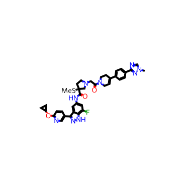 CSC1(C(=O)Nc2cc(F)c3[nH]nc(-c4ccc(OC5CC5)nc4)c3c2)CCN(CC(=O)N2CC=C(c3ccc(-c4ncn(C)n4)cc3)CC2)C1